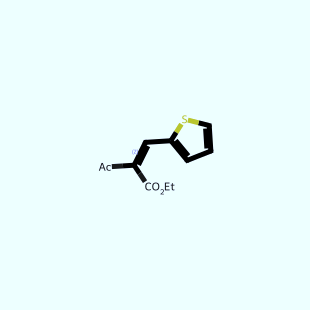 CCOC(=O)/C(=C\c1cccs1)C(C)=O